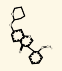 COc1ccccc1-c1coc2cc(OC3CCCCO3)ccc2c1=O